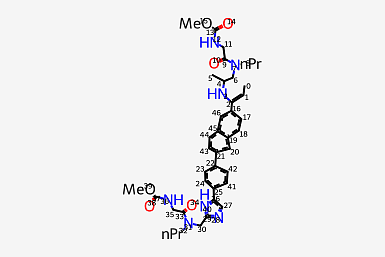 C/C=C(\NC(C)CN(CCC)C(=O)CNC(=O)OC)c1ccc2cc(-c3ccc(-c4cnc(CN(CCC)C(=O)CNC(=O)OC)[nH]4)cc3)ccc2c1